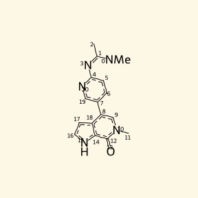 CN/C(C)=N\c1ccc(-c2cn(C)c(=O)c3[nH]ccc23)cn1